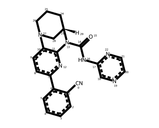 N#Cc1ccccc1-c1ccc2c(n1)N(C(=O)Nc1cnccn1)[C@H]1CCCN2C1